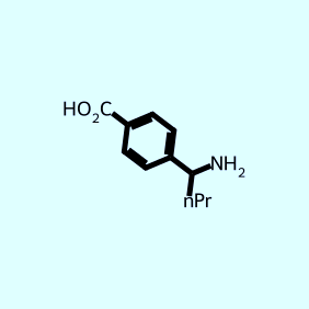 CCCC(N)c1ccc(C(=O)O)cc1